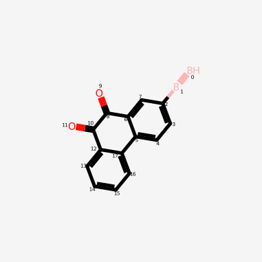 B=Bc1ccc2c(c1)C(=O)C(=O)c1ccccc1-2